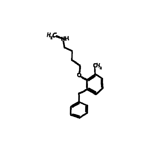 CNCCCCOc1c(C)cccc1Cc1ccccc1